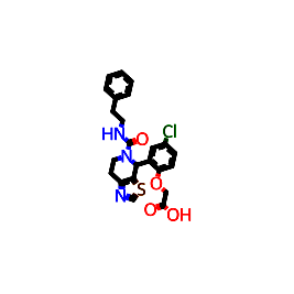 O=C(O)COc1ccc(Cl)cc1C1c2scnc2CCN1C(=O)NCCc1ccccc1